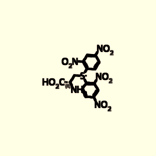 N[C@@H](C[S](c1ccc([N+](=O)[O-])cc1[N+](=O)[O-])c1ccc([N+](=O)[O-])cc1[N+](=O)[O-])C(=O)O